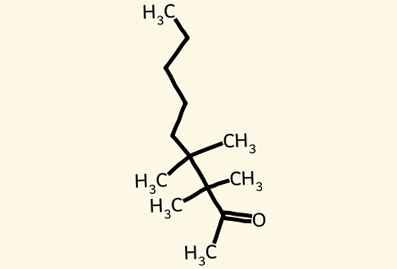 CCCCCC(C)(C)C(C)(C)C(C)=O